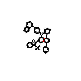 CC(C)(C)c1c(-c2cccc(N(c3ccc(-c4cccc5ccccc45)cc3)c3ccccc3-c3ccc(-c4ccccc4)cc3)c2)oc2ccccc12